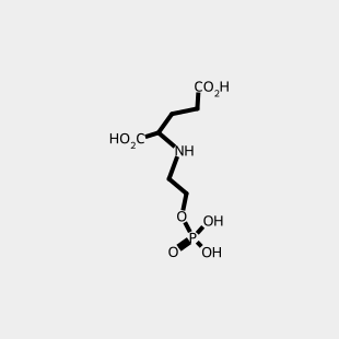 O=C(O)CCC(NCCOP(=O)(O)O)C(=O)O